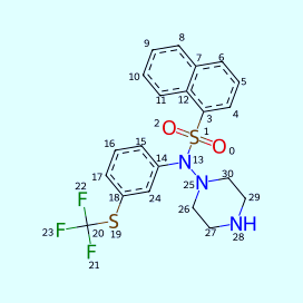 O=S(=O)(c1cccc2ccccc12)N(c1cccc(SC(F)(F)F)c1)N1CCNCC1